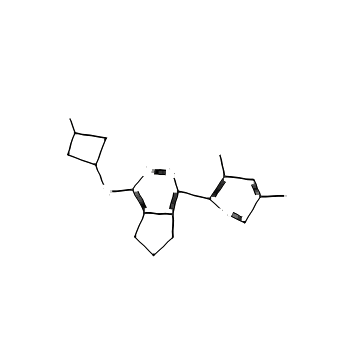 Cc1cnc(-c2nnc(NC3CC(O)C3)c3c2CCC3)c(O)c1